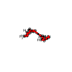 Cc1ncsc1-c1ccc(CNC(=O)[C@@H]2C[C@@H](O)CN2C(=O)C(NC(=O)COCCCCCCCCNC(=O)c2ccc(-n3cc(NC(=O)c4coc(-c5ccnc(NCC(F)(F)F)c5)n4)c(C(N)=O)n3)cc2)C(C)(C)C)cc1